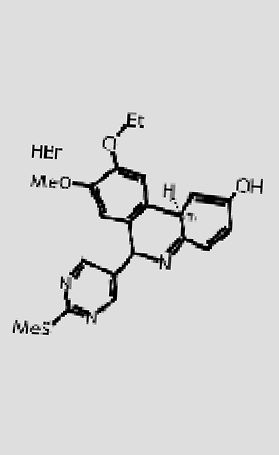 Br.CCOc1cc2c(cc1OC)C(c1cnc(SC)nc1)N=C1C=CC(O)=C[C@@H]12